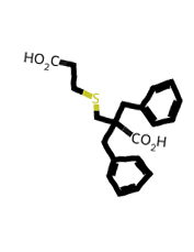 O=C(O)CCSCC(Cc1ccccc1)(Cc1ccccc1)C(=O)O